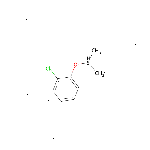 C[SiH](C)Oc1ccccc1Cl